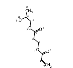 C=CC(=O)OCCC(=O)OCC(C)O